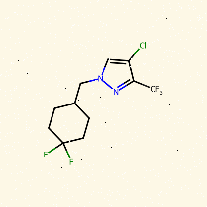 FC1(F)CCC(Cn2cc(Cl)c(C(F)(F)F)n2)CC1